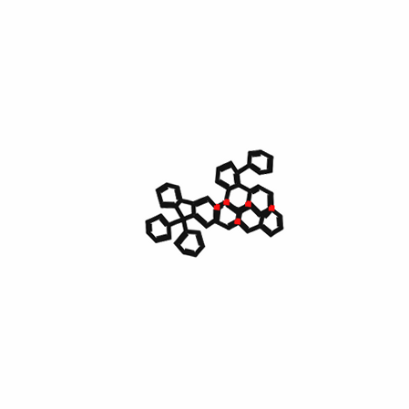 c1ccc(-c2ccccc2-c2c(-c3ccccc3)cccc2N(c2ccc3c(c2)-c2ccccc2C3(c2ccccc2)c2ccccc2)c2ccc3ccccc3c2)cc1